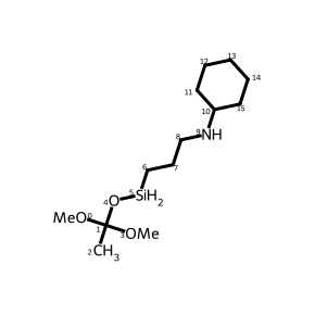 COC(C)(OC)O[SiH2]CCCNC1CCCCC1